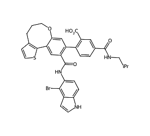 CC(C)CNC(=O)c1ccc(-c2cc3c(cc2C(=O)Nc2ccc4[nH]ccc4c2Br)-c2sccc2CCCO3)c(C(=O)O)c1